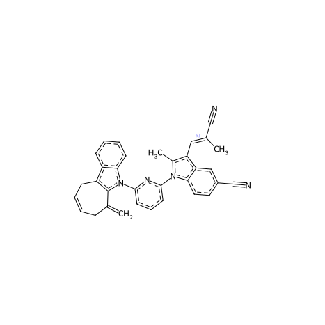 C=C1CC=CCc2c1n(-c1cccc(-n3c(C)c(/C=C(\C)C#N)c4cc(C#N)ccc43)n1)c1ccccc21